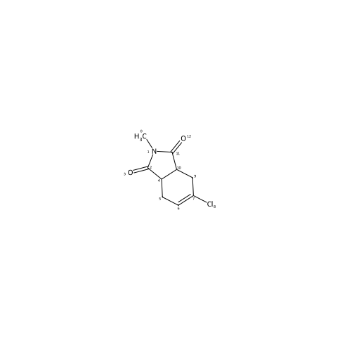 CN1C(=O)C2CC=C(Cl)CC2C1=O